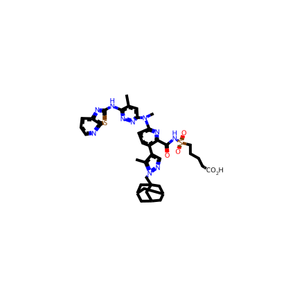 Cc1cc(N(C)c2ccc(-c3cnn(CC45CC6CC(CC(C6)C4)C5)c3C)c(C(=O)NS(=O)(=O)CCCCC(=O)O)n2)nnc1Nc1nc2cccnc2s1